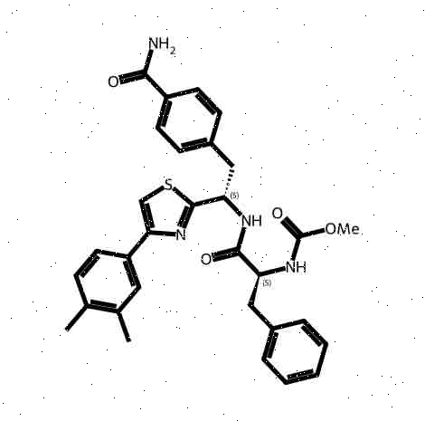 COC(=O)N[C@@H](Cc1ccccc1)C(=O)N[C@@H](Cc1ccc(C(N)=O)cc1)c1nc(-c2ccc(C)c(C)c2)cs1